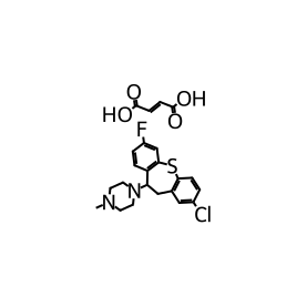 CN1CCN(C2Cc3cc(Cl)ccc3Sc3cc(F)ccc32)CC1.O=C(O)C=CC(=O)O